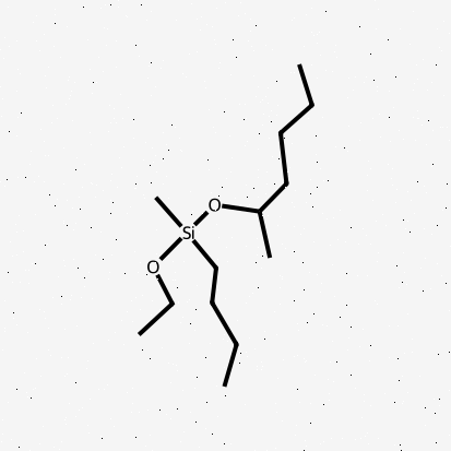 CCCCC(C)O[Si](C)(CCCC)OCC